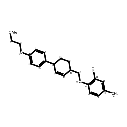 COCCOc1ccc(C2C=CC(COc3ccc(C)cc3F)CC2)cc1